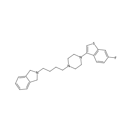 Fc1ccc2c(N3CCN(CCCCN4Cc5ccccc5C4)CC3)csc2c1